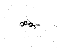 CC(C)(C)OC(=O)c1ccc(N2CC3(CCNCC3)CC2=O)cc1